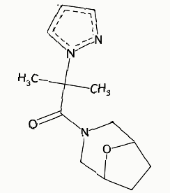 CC(C)(C(=O)N1CC2CCC(C1)O2)n1c[c]cn1